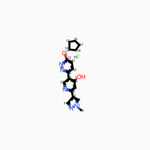 Cn1cc(-c2cc(O)c(-c3ccc(O[C@@H]4CCC[C@@H]4F)nn3)cn2)cn1